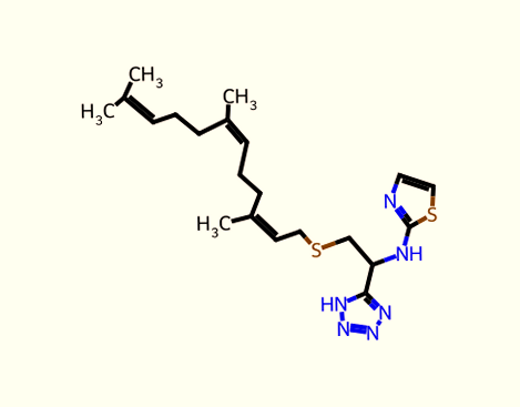 CC(C)=CCCC(C)=CCCC(C)=CCSCC(Nc1nccs1)c1nnn[nH]1